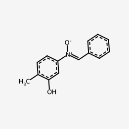 Cc1ccc([N+]([O-])=Cc2ccccc2)cc1O